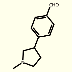 CN1CCC(c2ccc(C=O)cc2)C1